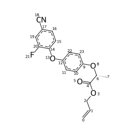 C=CCOC(=O)[C@@H](C)Oc1ccc(Oc2ccc(C#N)cc2F)cc1